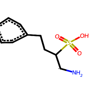 N[CH]C(CCc1ccccc1)S(=O)(=O)O